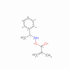 C=C(C)C(=O)ONC(C)c1ccccc1